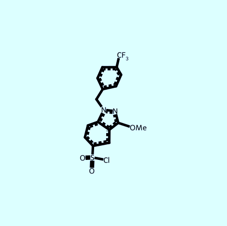 COc1nn(Cc2ccc(C(F)(F)F)cc2)c2ccc(S(=O)(=O)Cl)cc12